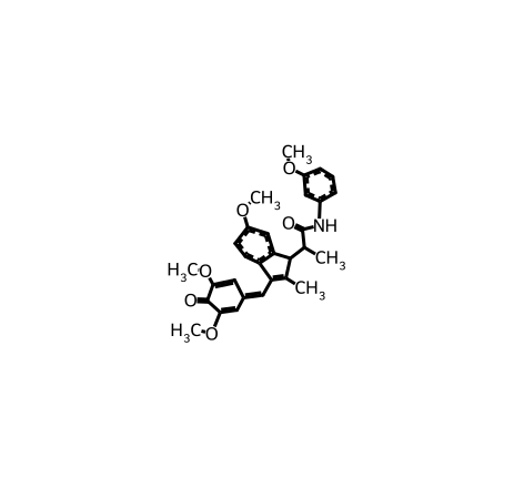 COC1=CC(=CC2=C(C)C(C(C)C(=O)Nc3cccc(OC)c3)c3cc(OC)ccc32)C=C(OC)C1=O